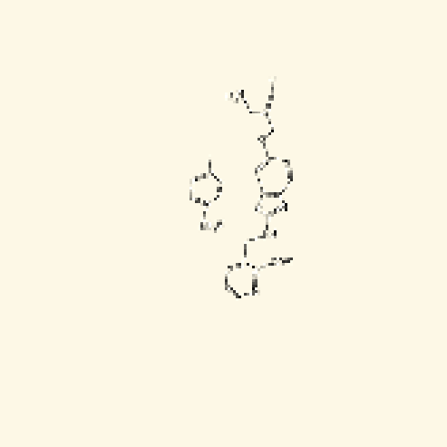 COc1ncccc1CNc1nc2ccc(OCC(=CF)CN)cc2o1.Cc1ccc(S(=O)(=O)O)cc1